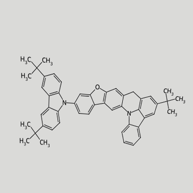 CC(C)(C)c1ccc2c(c1)c1cc(C(C)(C)C)ccc1n2-c1ccc2c(c1)oc1cc3c(cc12)-n1c2ccccc2c2cc(C(C)(C)C)cc(c21)C3